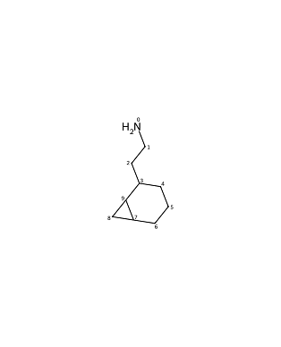 NCCC1CCCC2CC12